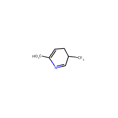 O=C(O)C1=CCC(C(F)(F)F)C=N1